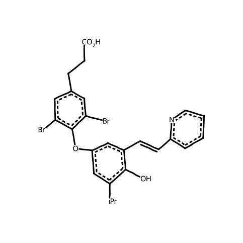 CC(C)c1cc(Oc2c(Br)cc(CCC(=O)O)cc2Br)cc(C=Cc2ccccn2)c1O